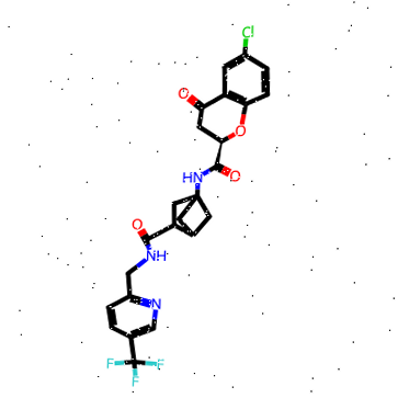 O=C1C[C@H](C(=O)NC23CC(C2)C(C(=O)NCc2ccc(C(F)(F)F)cn2)C3)Oc2ccc(Cl)cc21